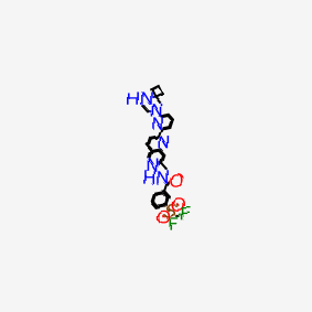 O=C(NCc1cc2nc(-c3cccc(N4CCNC5(CCC5)C4)n3)ccc2cn1)c1cccc(S(=O)(=O)C(F)F)c1